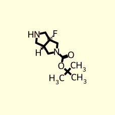 CC(C)(C)OC(=O)N1C[C@@H]2CNC[C@@]2(F)C1